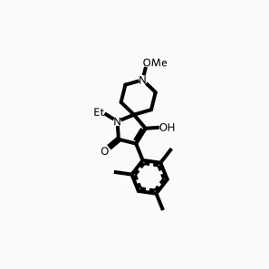 CCN1C(=O)C(c2c(C)cc(C)cc2C)=C(O)C12CCN(OC)CC2